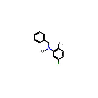 Cc1ccc(F)cc1N(C)Cc1ccccc1